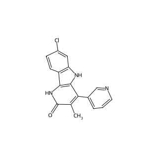 Cc1c(-c2cccnc2)c2[nH]c3cc(Cl)ccc3c2[nH]c1=O